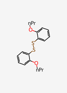 CCCOc1ccccc1SSc1ccccc1OCCC